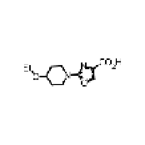 CCOC1CCN(c2nc(C(=O)O)co2)CC1